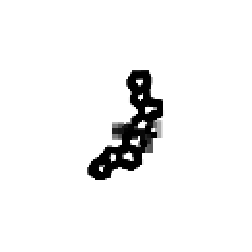 [Cl][Ti]([Cl])[SiH](Cc1cccc2c1Cc1ccccc1-2)Cc1cccc2c1Cc1ccccc1-2